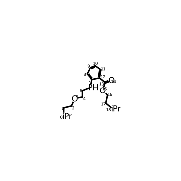 CC(C)CCOCCPc1ccccc1C(=O)OCCC(C)C